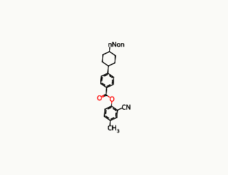 CCCCCCCCCC1CCC(c2ccc(C(=O)Oc3ccc(C)cc3C#N)cc2)CC1